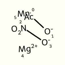 CC(=O)[O-].O=[N+]([O-])[O-].[Mg+2].[Mn]